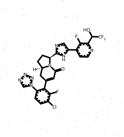 O=C1C=C(c2c(-n3cnnn3)ccc(Cl)c2F)C[C@H]2CC[C@@H](c3ncc(-c4ccnc(C(O)C(F)(F)F)c4F)[nH]3)N12